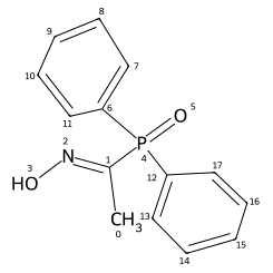 CC(=NO)P(=O)(c1ccccc1)c1ccccc1